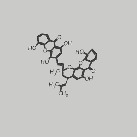 CC(C)=C[C@H]1C[C@@](C)(/C=C/c2cc(O)c3c(=O)c4cccc(O)c4oc3c2O)Oc2c1cc(O)c1c(=O)c3cccc(O)c3oc21